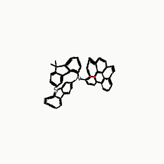 CC1(C)c2ccccc2-c2c(N(c3ccc(-c4cccc5ccc6ccc7ccccc7c6c45)cc3)c3ccc4c(c3)sc3ccccc34)cccc21